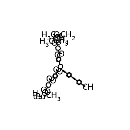 C#Cc1ccc(C#Cc2ccc(C#CC3(OC(=O)c4ccc(OC(=O)C5CCC(C(=O)OC(C)(C)CC(C)(C)C)CC5)cc4)CCC(c4ccc(OC(=O)C5CCC(C(=O)OC(C)(C)CC(C)(C)OC(=O)C=C)CC5)cc4)CC3)cc2)cc1